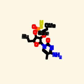 CCC(C)CC1OC(n2cc(C)c(N)nc2=O)C(OCCOC)C1OP(=O)(S)OC